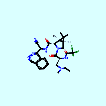 CCN(C)C[C@H](NC(=O)C(F)(F)F)C(=O)N1C[C@H]2[C@@H]([C@H]1C(=O)NC(C#N)c1nncc3ccccc13)C2(C)C